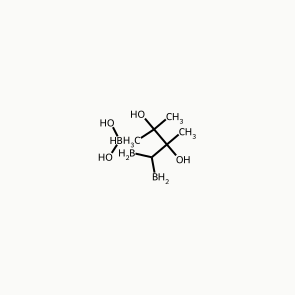 BC(B)C(C)(O)C(C)(C)O.OBO